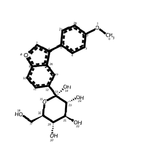 COc1ccc(-c2coc3ccc([C@]4(O)O[C@H](CO)[C@@H](O)[C@H](O)[C@H]4O)cc23)cc1